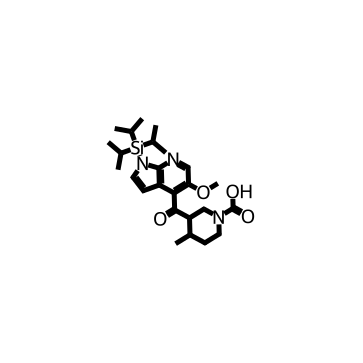 COc1cnc2c(ccn2[Si](C(C)C)(C(C)C)C(C)C)c1C(=O)C1CN(C(=O)O)CCC1C